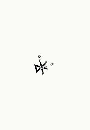 [F][Mo+4]1([F])([F])([F])[CH2][CH2]1.[S-2].[S-2]